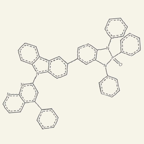 O=P1(c2ccccc2)N(c2ccccc2)c2ccc(-c3ccc4c(c3)c3ccccc3n4-c3cc(-c4ccccc4)c4cccnc4n3)cc2N1c1ccccc1